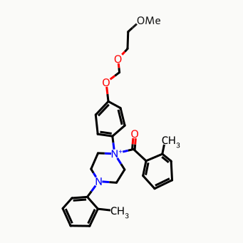 COCCOCOc1ccc([N+]2(C(=O)c3ccccc3C)CCN(c3ccccc3C)CC2)cc1